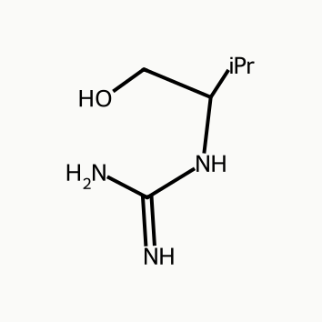 CC(C)C(CO)NC(=N)N